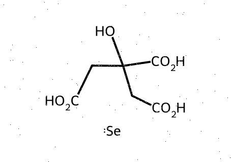 O=C(O)CC(O)(CC(=O)O)C(=O)O.[Se]